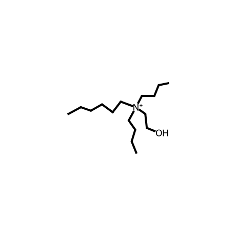 CCCCCC[N+](CCO)(CCCC)CCCC